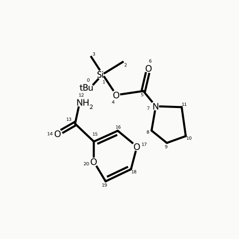 CC(C)(C)[Si](C)(C)OC(=O)N1CCCC1.NC(=O)C1=COC=CO1